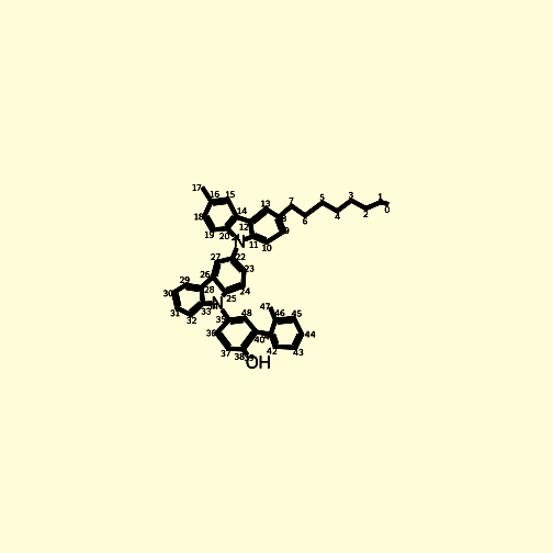 CCCCCCCCc1ccc2c(c1)c1cc(C)ccc1n2-c1ccc2c(c1)c1ccccc1n2-c1ccc(O)c(-c2ccccc2C)c1